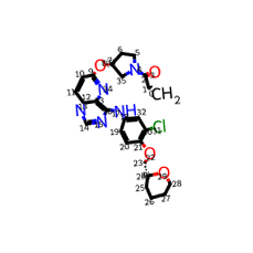 C=CC(=O)N1CC[C@H](Oc2ccc3ncnc(Nc4ccc(OC[C@H]5CCCCO5)c(Cl)c4)c3n2)C1